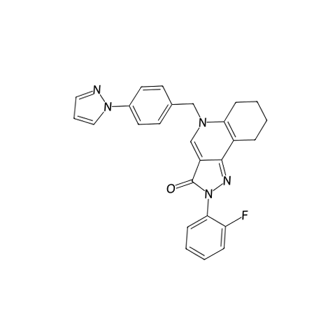 O=c1c2cn(Cc3ccc(-n4cccn4)cc3)c3c(c-2nn1-c1ccccc1F)CCCC3